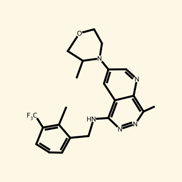 Cc1c(CNc2nnc(C)c3ncc(N4CCOCC4C)cc23)cccc1C(F)(F)F